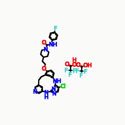 O=C(Nc1ccc(F)cc1)N1CCC(CCOc2ccc3cc2CCc2cncc(c2)Nc2ncc(Cl)c(n2)N3)CC1.O=C(O)C(F)(F)F.O=C(O)C(F)(F)F